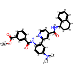 CCN(CC)c1ccc(NC(=O)c2cccc(C(=O)OC(C)(C)C)c2)c(-c2cc(C(=O)NC3CCCc4ccccc43)ccn2)c1